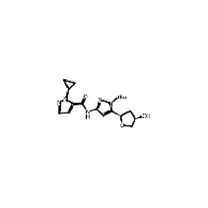 CC(C)(C)n1nc(NC(=O)c2ccnn2C2CC2)cc1[C@H]1C[C@@H](O)CO1